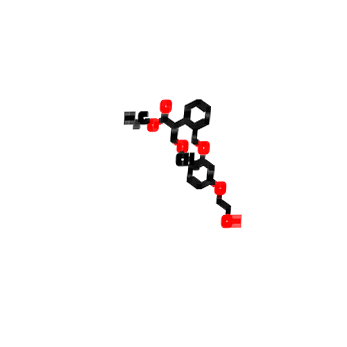 CO/C=C(/C(=O)OC)c1ccccc1COc1cccc(OCCO)c1